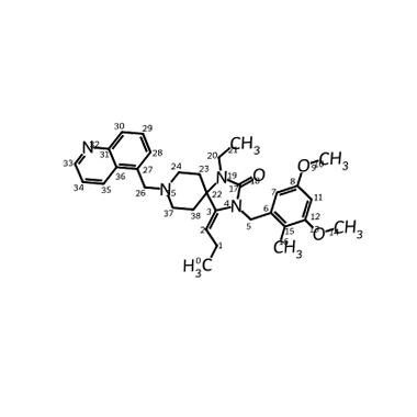 CC/C=C1\N(Cc2cc(OC)cc(OC)c2C)C(=O)N(CC)C12CCN(Cc1cccc3ncccc13)CC2